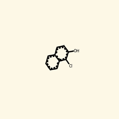 Oc1[c]cc2ccccc2c1Cl